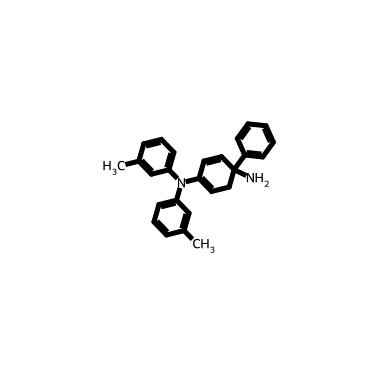 Cc1cccc(N(C2=CCC(N)(c3ccccc3)C=C2)c2cccc(C)c2)c1